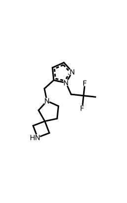 CC(F)(F)Cn1nccc1CN1CCC2(CNC2)C1